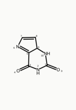 O=C1NC(=O)C2=NC=CC2N1